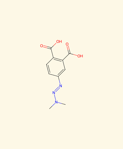 CN(C)N=Nc1ccc(C(=O)O)c(C(=O)O)c1